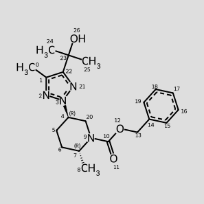 Cc1nn([C@@H]2CC[C@@H](C)N(C(=O)OCc3ccccc3)C2)nc1C(C)(C)O